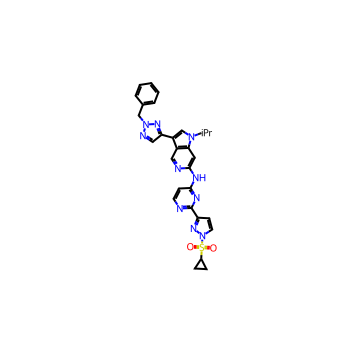 CC(C)n1cc(-c2cnn(Cc3ccccc3)n2)c2cnc(Nc3ccnc(-c4ccn(S(=O)(=O)C5CC5)n4)n3)cc21